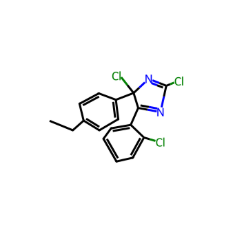 CCc1ccc(C2(Cl)N=C(Cl)N=C2c2ccccc2Cl)cc1